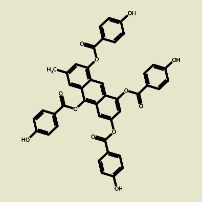 Cc1cc(OC(=O)c2ccc(O)cc2)c2cc3c(OC(=O)c4ccc(O)cc4)cc(OC(=O)c4ccc(O)cc4)cc3c(OC(=O)c3ccc(O)cc3)c2c1